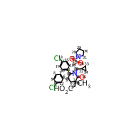 C[C@@]1(CC(=O)O)C[C@H](c2cccc(Cl)c2)[C@@H](c2ccc(Cl)cc2)N([C@H](CS(=O)(=O)N2CCCC2)C2CC2)C1=O